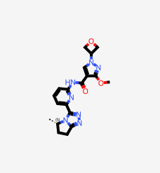 COc1nn(C2COC2)cc1C(=O)Nc1cccc(-c2nnc3n2[C@@H](C)CC3)n1